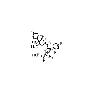 C[C@@H]1CN(C(=O)[C@@H]2CN(C(C)(C)C)C[C@H]2c2ccc(F)cc2F)C[C@H](C)C1(O)c1ccc(F)cc1.Cl